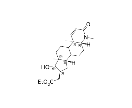 CCOC(=O)C[C@@H]1C[C@H]2C3CC[C@H]4N(C)C(=O)C=C[C@]4(C)C3CC[C@]2(C)[C@H]1O